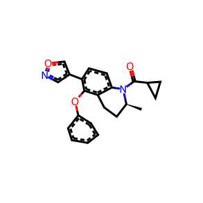 C[C@H]1CCc2c(ccc(-c3cnoc3)c2Oc2ccccc2)N1C(=O)C1CC1